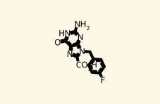 Nc1nc2c(nc(C(=O)O)n2Cc2ccc(F)cc2)c(=O)[nH]1